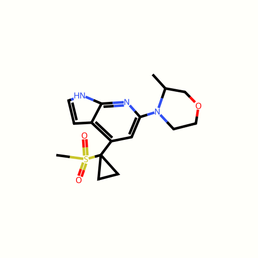 CC1COCCN1c1cc(C2(S(C)(=O)=O)CC2)c2cc[nH]c2n1